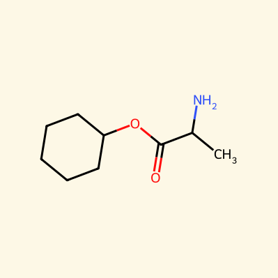 CC(N)C(=O)OC1CCCCC1